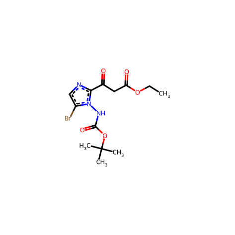 CCOC(=O)CC(=O)c1ncc(Br)n1NC(=O)OC(C)(C)C